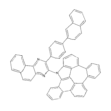 c1ccc2c(c1)-c1cccc3c4ccccc4c4c(c13)c1c-2cccc1n4-c1nc2ccc3ccccc3c2nc1-c1ccc(-c2ccc3ccccc3c2)cc1